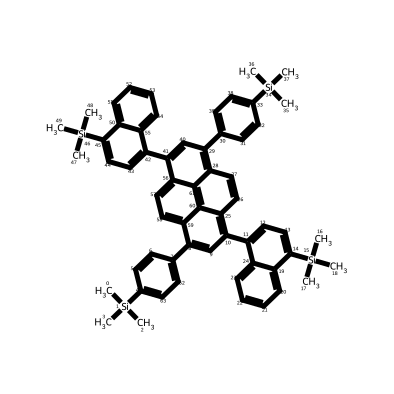 C[Si](C)(C)c1ccc(-c2cc(-c3ccc([Si](C)(C)C)c4ccccc34)c3ccc4c(-c5ccc([Si](C)(C)C)cc5)cc(-c5ccc([Si](C)(C)C)c6ccccc56)c5ccc2c3c45)cc1